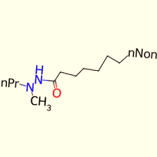 CCCCCCCCCCCCCCCC(=O)NN(C)CCC